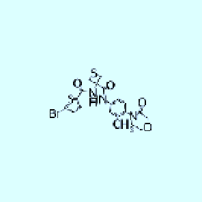 Cc1cc(NC(=O)C2(NC(=O)c3ccc(Br)s3)CSC2)ccc1N1CCOCC1=O